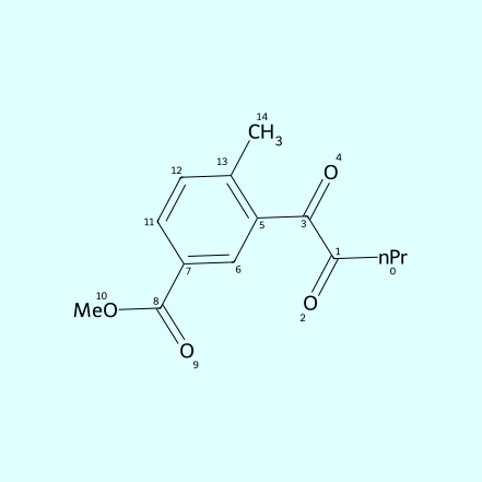 CCCC(=O)C(=O)c1cc(C(=O)OC)ccc1C